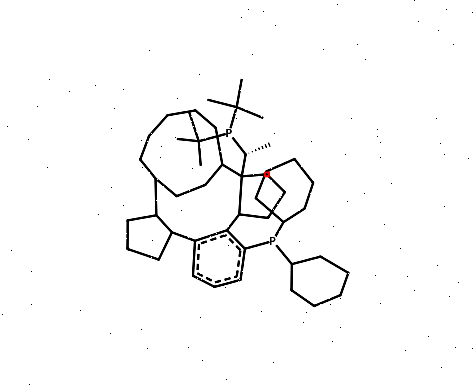 C[C@@H](P(C(C)(C)C)C(C)(C)C)C12CCCC1c1c(cccc1P(C1CCCCC1)C1CCCCC1)C1CCCC1C1CCCCCC2CC1